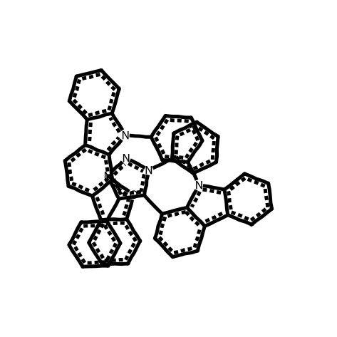 c1ccc(-c2nnn(-c3ccccc3)c2-c2cccc3c4ccccc4n(-c4cccc(-n5c6ccccc6c6ccc7c8ccccc8oc7c65)c4)c23)cc1